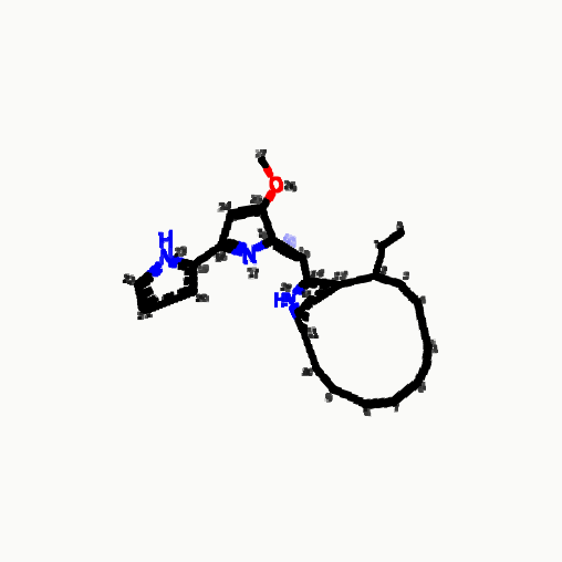 CCC1CCCCCCCCc2cc1c(/C=C1\N=C(c3ccc[nH]3)C=C1OC)[nH]2